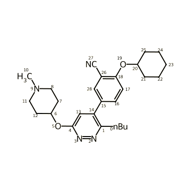 CCCCc1nnc(OC2CCN(C)CC2)cc1-c1ccc(OC2CCCCC2)c(C#N)c1